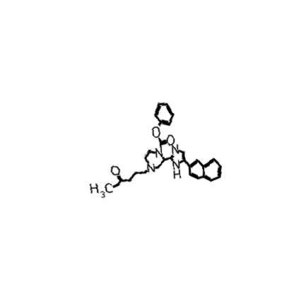 CCC(=O)CCCN1CCN(C(=O)Oc2ccccc2)C(c2ncc(-c3ccc4ccccc4c3)[nH]2)C1